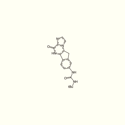 CC(C)(C)NC(=O)Nc1ccc2c(c1)Cc1c-2[nH]c(=O)c2nccn12